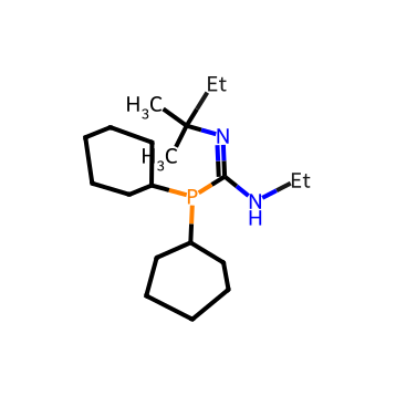 CCN/C(=N/C(C)(C)CC)P(C1CCCCC1)C1CCCCC1